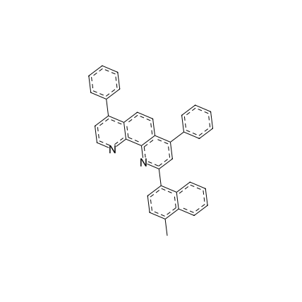 Cc1ccc(-c2cc(-c3ccccc3)c3ccc4c(-c5ccccc5)ccnc4c3n2)c2ccccc12